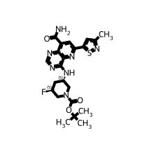 Cc1cc(-c2cc(C(N)=O)c3ncnc(N[C@H]4C[C@H](F)CN(C(=O)OC(C)(C)C)C4)c3n2)sn1